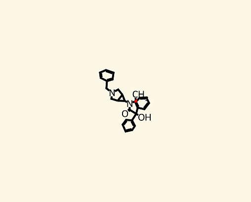 CCN(C(=O)C(O)(c1ccccc1)c1ccccc1)C1C2CN(Cc3ccccc3)CC21